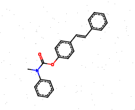 CN(C(=O)Oc1ccc(/C=C/c2ccccc2)cc1)c1ccccc1